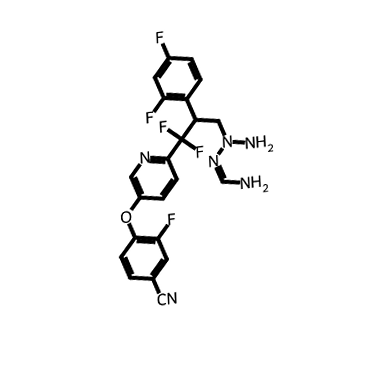 N#Cc1ccc(Oc2ccc(C(F)(F)C(CN(N)/N=C\N)c3ccc(F)cc3F)nc2)c(F)c1